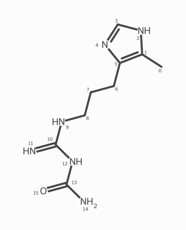 Cc1[nH]cnc1CCCNC(=N)NC(N)=O